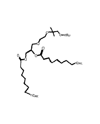 CCCCCCCCCCCCCCCCCC(=O)OCC(COCCOC(C)(C)COC(C)(C)C)OC(=O)CCCCCCCCCCCCCCCCC